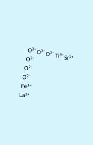 [Fe+3].[La+3].[O-2].[O-2].[O-2].[O-2].[O-2].[O-2].[Sr+2].[Ti+4]